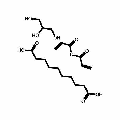 C=CC(=O)OC(=O)C=C.O=C(O)CCCCCCCCC(=O)O.OCC(O)CO